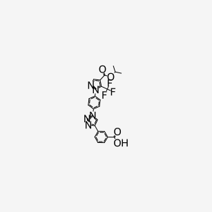 CC(C)OC(=O)c1cnn(-c2ccc(-n3cc(-c4cccc(C(=O)O)c4)nn3)cc2)c1C(F)(F)F